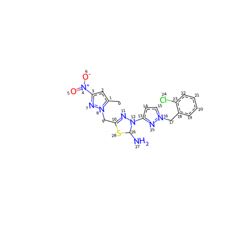 Cc1cc([N+](=O)[O-])nn1CC1=NN(c2ccn(Cc3ccccc3Cl)n2)C(N)S1